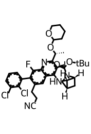 C[C@@H](OC1CCCCO1)c1nc2c(F)c(-c3cccc(Cl)c3Cl)c(CCC#N)cc2c(N[C@H]2[C@@H]3C[C@H]2N(C(=O)OC(C)(C)C)C3)c1I